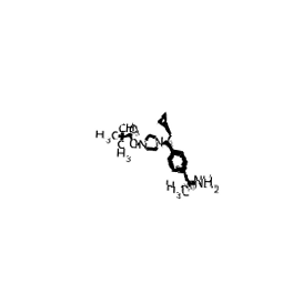 C[C@H](N)c1ccc([C@H](CC2CC2)N2CCN(OC(=O)C(C)(C)C)CC2)cc1